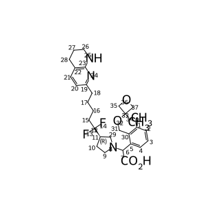 Cc1cccc(C(C(=O)O)N2CC[C@@H](C(F)(F)CCCCc3ccc4c(n3)NCCC4)C2)c1COC1(C)COC1